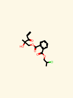 C=CC(=O)C(C)(O)COC(=O)c1ccccc1C(=O)OCC(C)Cl